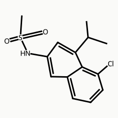 CC(C)c1cc(NS(C)(=O)=O)cc2cccc(Cl)c12